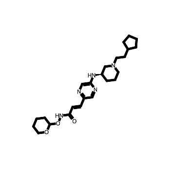 O=C(C=Cc1cnc(N[C@@H]2CCCN(CCC3CCCC3)C2)cn1)NOC1CCCCO1